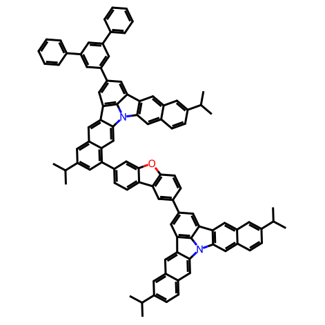 CC(C)c1ccc2cc3c(cc2c1)c1cc(-c2ccc4oc5cc(-c6cc(C(C)C)cc7cc8c9cc(-c%10cc(-c%11ccccc%11)cc(-c%11ccccc%11)c%10)cc%10c%11cc%12cc(C(C)C)ccc%12cc%11n(c8cc67)c%109)ccc5c4c2)cc2c4cc5cc(C(C)C)ccc5cc4n3c12